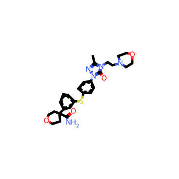 Cc1nn(-c2ccc(Sc3cccc(C4(C(N)=O)CCOCC4)c3)cc2)c(=O)n1CCN1CCOCC1